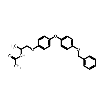 CC(=O)NC(C)COc1ccc(Oc2ccc(OCc3ccccc3)cc2)cc1